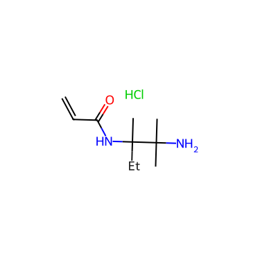 C=CC(=O)NC(C)(CC)C(C)(C)N.Cl